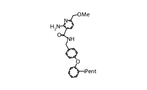 CCCC(C)c1ccccc1Oc1ccc(CNC(=O)c2ccc(COC)nc2N)cc1